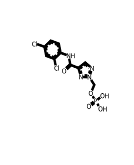 O=C(Nc1ccc(Cl)cc1Cl)c1cnn(COP(=O)(O)O)n1